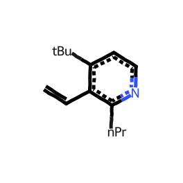 C=Cc1c(C(C)(C)C)ccnc1CCC